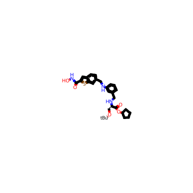 CC(C)(C)OC[C@H](NCc1cccc(NCc2ccc3cc(C(=O)NO)sc3c2)c1)C(=O)OC1CCCC1